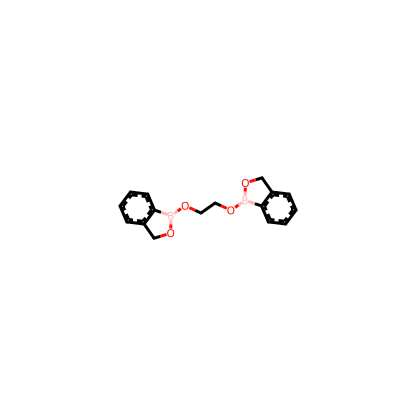 c1ccc2c(c1)COB2OCCOB1OCc2ccccc21